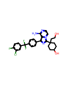 Nc1nccn2c(C3(CCO)CCC(O)CC3)nc(-c3ccc(C(F)(F)c4ccc(F)c(Cl)c4)cc3)c12